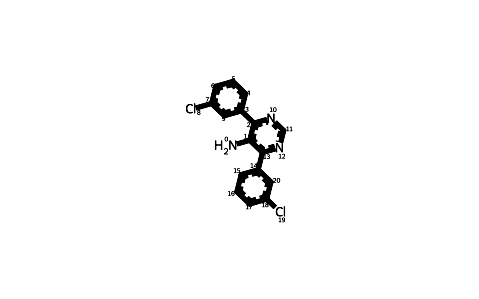 Nc1c(-c2cccc(Cl)c2)ncnc1-c1cccc(Cl)c1